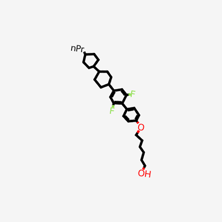 CCCC1CCC(C2CCC(c3cc(F)c(-c4ccc(OCCCCCCO)cc4)c(F)c3)CC2)CC1